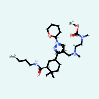 COCCCNC(=O)[C@H]1CC(c2nn(C3CCCCO3)cc2CN(C)CCN(C)C(=O)OC(C)(C)C)CCC1(C)C